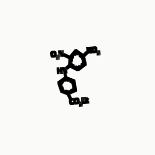 CCOC(=O)c1ccc(Nc2ccc([N+](=O)[O-])cc2[N+](=O)[O-])cc1